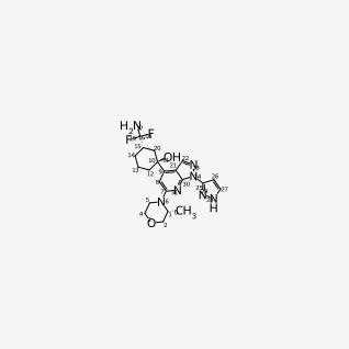 C[C@@H]1COCCN1c1cc([C@]2(O)CCC[C@H](C(N)(F)F)C2)c2cnn(-c3cc[nH]n3)c2n1